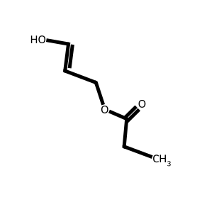 CCC(=O)OCC=CO